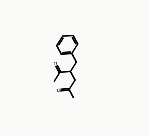 CC(=O)CC(Cc1ccccc1)C(C)=O